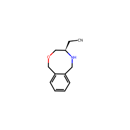 N#CC[C@@H]1COCc2ccccc2CN1